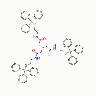 O=C(CC(CC(=O)NCCSC(c1ccccc1)(c1ccccc1)c1ccccc1)CC(=O)NCCSC(c1ccccc1)(c1ccccc1)c1ccccc1)NCCSC(c1ccccc1)(c1ccccc1)c1ccccc1